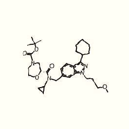 COCCCn1nc(C2CCCCC2)c2ccc(CN(C(=O)[C@H]3CN(C(=O)OC(C)(C)C)CCO3)C3CC3)cc21